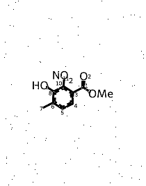 COC(=O)c1ccc(C)c(O)c1[N+](=O)[O-]